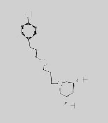 C[C@@H]1C[C@H](C)CN(CCCOCCCc2ccc(Cl)cc2)C1